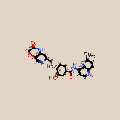 COc1ccc2nccc(NC(=O)[C@@H]3CC[C@@H](NCc4cc5c(cn4)OCC(=O)N5)[C@H](O)C3)c2n1